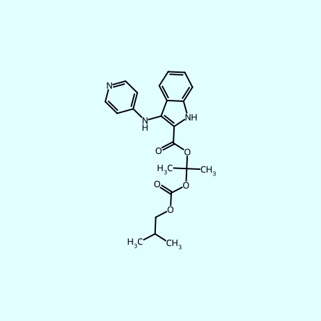 CC(C)COC(=O)OC(C)(C)OC(=O)c1[nH]c2ccccc2c1Nc1ccncc1